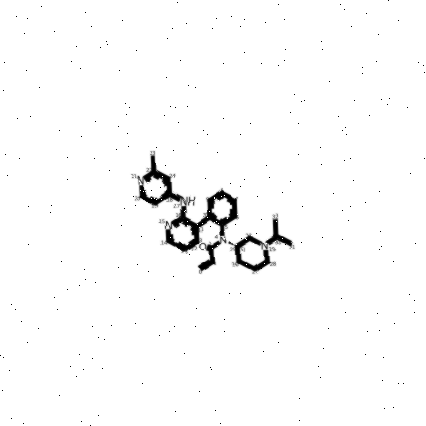 C=CC(=O)N(c1ccccc1-c1cccnc1Nc1ccnc(C)c1)[C@H]1CCCN(C(C)C)C1